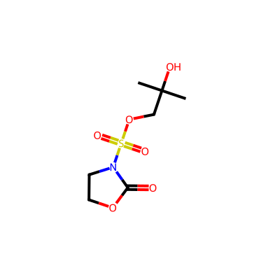 CC(C)(O)COS(=O)(=O)N1CCOC1=O